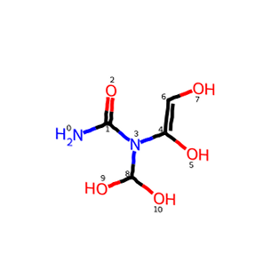 NC(=O)N(C(O)=CO)C(O)O